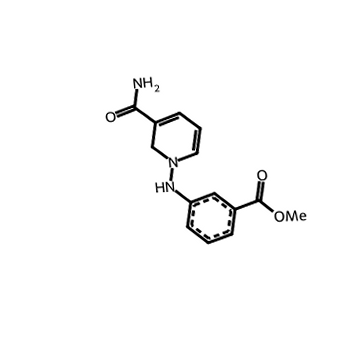 COC(=O)c1cccc(NN2C=CC=C(C(N)=O)C2)c1